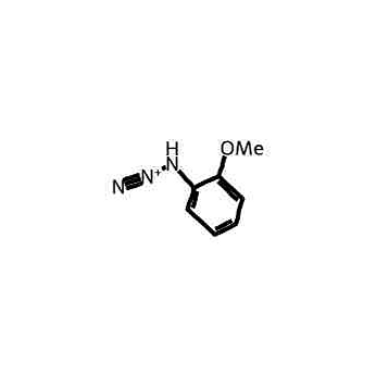 COc1ccccc1N[N+]#N